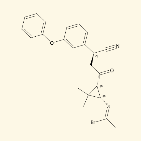 CC(Br)=C[C@H]1[C@@H](C(=O)C[C@H](C#N)c2cccc(Oc3ccccc3)c2)C1(C)C